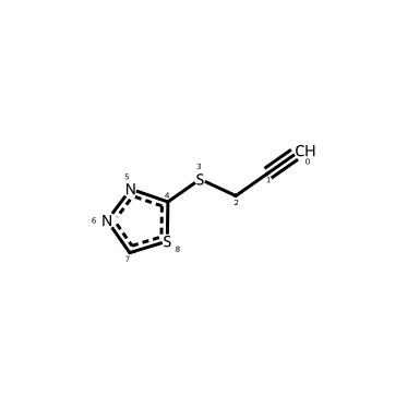 C#CCSc1nn[c]s1